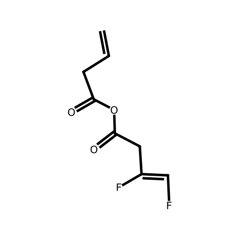 C=CCC(=O)OC(=O)CC(F)=CF